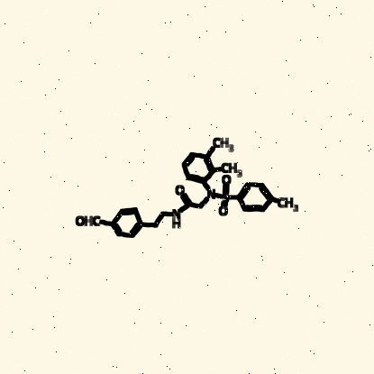 Cc1ccc(S(=O)(=O)N(CC(=O)NCCc2ccc(C=O)cc2)c2cccc(C)c2C)cc1